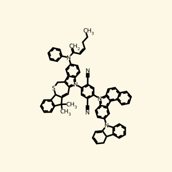 C=C(/C=C\CCC)N(c1ccccc1)c1ccc2c(c1)c1c(n2-c2cc(C#N)c(-n3c4ccc(N5C6=CC=CCC6c6ccccc65)cc4c4c5ccccc5ccc43)cc2C#N)C=C2C(SC1)c1ccccc1C2(C)C